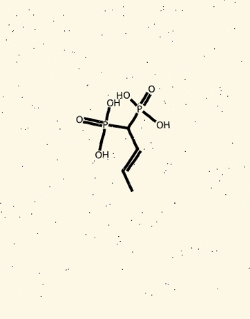 CC=CC(P(=O)(O)O)P(=O)(O)O